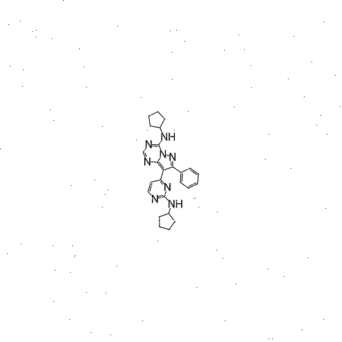 c1ccc(-c2nn3c(NC4CCCC4)ncnc3c2-c2ccnc(NC3CCCC3)n2)cc1